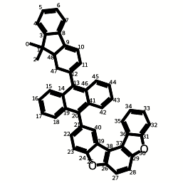 CC1(C)c2ccccc2C2=CC=C(c3c4ccccc4c(-c4ccc5oc6ccc7oc8ccccc8c7c6c5c4)c4ccccc34)CC21